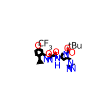 CC(C)(C)OC(=O)N1CC(NC(=O)c2nnc(-c3cc(OC(F)(F)F)ccc3C3CC3)o2)CC1Cn1cnnc1